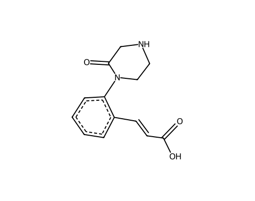 O=C(O)C=Cc1ccccc1N1CCNCC1=O